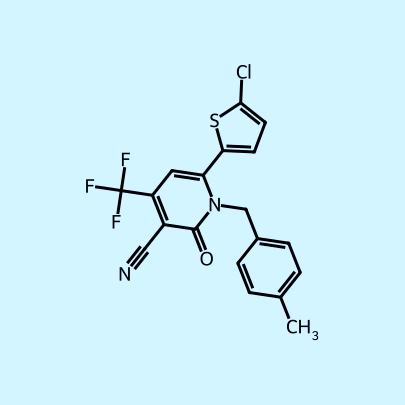 Cc1ccc(Cn2c(-c3ccc(Cl)s3)cc(C(F)(F)F)c(C#N)c2=O)cc1